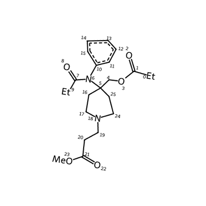 CCC(=O)OCC1(N(C(=O)CC)c2ccccc2)CCN(CCC(=O)OC)CC1